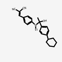 CCN(c1ccc(C=C(C#N)C#N)cc1)C(C)(O)c1ccc(C2CCCCC2)cc1